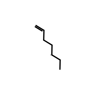 C=CCC[C]CC